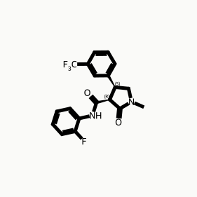 CN1C[C@H](c2cccc(C(F)(F)F)c2)[C@H](C(=O)Nc2ccccc2F)C1=O